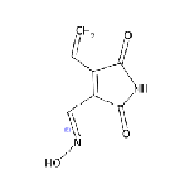 C=CC1=C(/C=N/O)C(=O)NC1=O